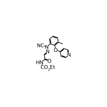 CCOC(=O)NC(=O)C=NN(C#N)c1cccc(C)c1Oc1ccncc1